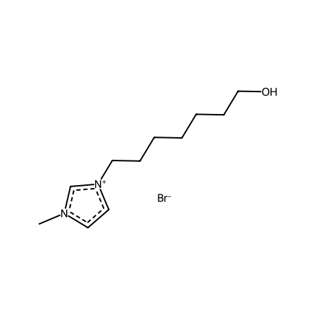 Cn1cc[n+](CCCCCCCO)c1.[Br-]